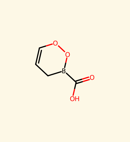 O=C(O)B1CC=COO1